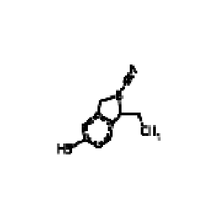 CCC1B(C#N)Cc2cc(S)ccc21